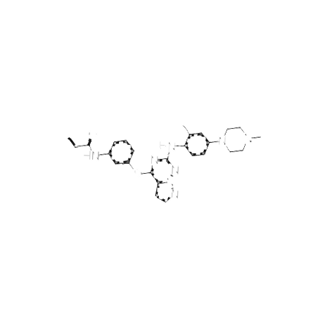 C=CC(=O)Nc1cccc(Sc2nc(Nc3ccc(N4CCN(C)CC4)cc3C)nn3nccc23)c1